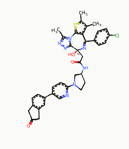 Cc1sc2c(c1C)C(c1ccc(Cl)cc1)=N[C@](O)(CC(=O)NC1CCN(c3ccc(-c4ccc5c(c4)CC(=O)C5)cn3)C1)c1nnc(C)n1-2